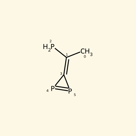 CC(P)=C1P=P1